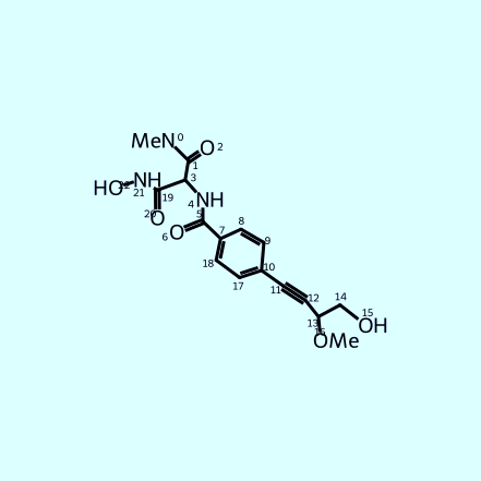 CNC(=O)C(NC(=O)c1ccc(C#CC(CO)OC)cc1)C(=O)NO